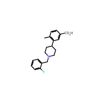 Cc1ccc(C(=O)O)cc1C1CCN(Cc2ccccc2F)CC1